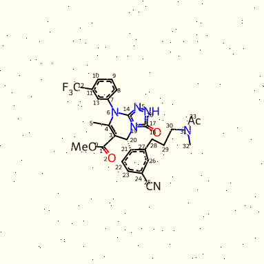 COC(=O)C1=C(C)N(c2cccc(C(F)(F)F)c2)c2n[nH]c(=O)n2[C@@H]1c1ccc(C#N)cc1CCCN(C)C(C)=O